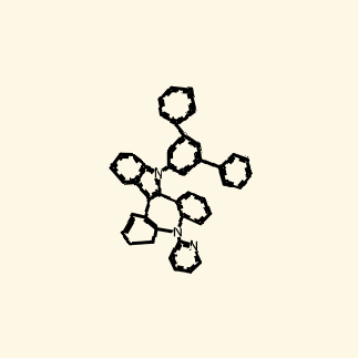 C1=CC2=C(CC1)N(c1ccccn1)c1ccccc1-c1c2c2ccccc2n1-c1cc(-c2ccccc2)cc(-c2ccccc2)c1